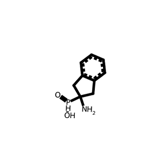 NC1([PH](=O)O)Cc2ccccc2C1